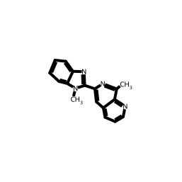 Cc1nc(-c2nc3ccccc3n2C)cc2cccnc12